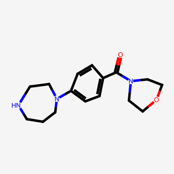 O=C(c1ccc(N2CCCNCC2)cc1)N1CCOCC1